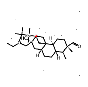 CCOC[C@@]1(O)CC[C@@]2(CO[Si](C)(C)C(C)(C)C)[C@H](CC[C@@H]3[C@@H]2CC[C@](C)(C=O)[C@H]3C)C1